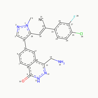 Cn1ncc(-c2ccc3c(=O)[nH]nc(CN)c3c2)c1/C=C(\C#N)c1ccc(Cl)c(F)c1